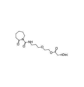 CCCCCCCCCCCC(=O)OCCOCCCNC(=O)N1CCCCCC1=O